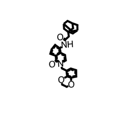 O=C(CC12CC3CC(CC(C3)C1)C2)Nc1cccc2c(=O)n(Cc3cccc4c3OCCO4)ccc12